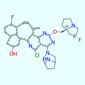 C=c1c#cc2c(F)ccc3cc(O)cc(c4nc(Cl)c5c(N6CC7CCC(C6)N7)nc(OC[C@@]67CCCN6C[C@H](F)C7)nc5c14)c32